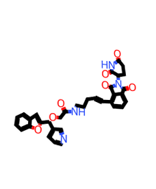 O=C(COC(c1cccnc1)c1cc2ccccc2o1)NCCCC#Cc1cccc2c1C(=O)N(C1CCC(=O)NC1=O)C2=O